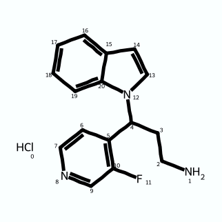 Cl.NCCC(c1ccncc1F)n1ccc2ccccc21